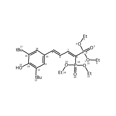 CCOP(=O)(OCC)C(=CC=Cc1cc(C(C)(C)C)c(O)c(C(C)(C)C)c1)P(=O)(OCC)OCC